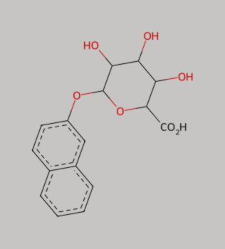 O=C(O)C1OC(Oc2ccc3ccccc3c2)C(O)C(O)C1O